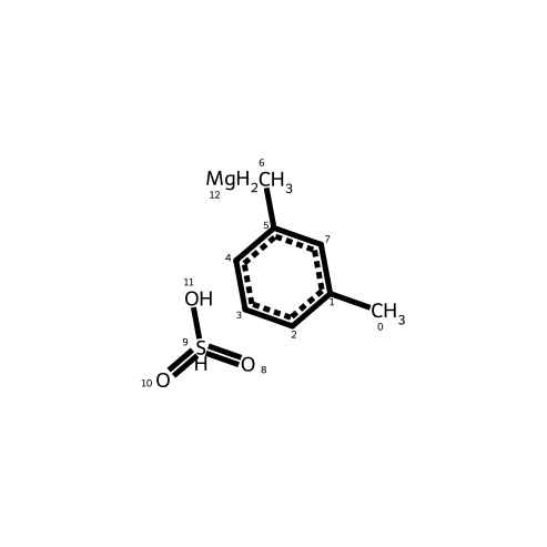 Cc1cccc(C)c1.O=[SH](=O)O.[MgH2]